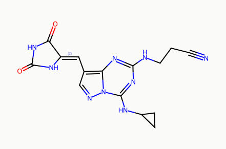 N#CCCNc1nc(NC2CC2)n2ncc(/C=C3\NC(=O)NC3=O)c2n1